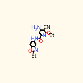 CCOc1nc(C(=O)Nc2ccc3oc(CC)nc3c2)cc(N)c1C#N